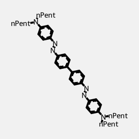 CCCCCN(CCCCC)c1ccc(N=Nc2ccc(-c3ccc(N=Nc4ccc(N(CCCCC)CCCCC)cc4)cc3)cc2)cc1